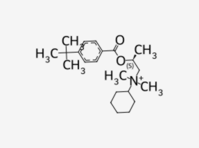 C[C@@H](C[N+](C)(C)C1CCCCC1)OC(=O)c1ccc(C(C)(C)C)cc1